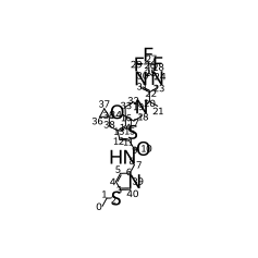 CCSc1ccc(CNC(=O)c2cc3c(s2)C2(CCN(C(C)c4cnc(C(F)(F)F)nc4)CC2)OC2(CC2)C3)nc1